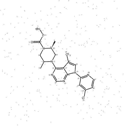 CC1CN(C(=O)OC(C)(C)C)[C@@H](C)CN1c1ncnc2c1c(C(F)(F)F)cn2-c1cc(Cl)ccn1